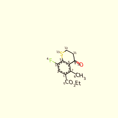 CCOC(=O)c1cc(F)c2c(c1C)C(=O)CCS2